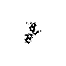 C#CCN(c1ccc2c(ccn2C)c1)c1nc(=O)c2cccnc2s1